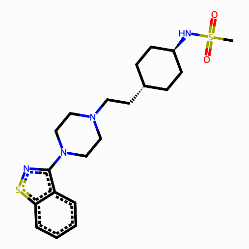 CS(=O)(=O)N[C@H]1CC[C@H](CCN2CCN(c3nsc4ccccc34)CC2)CC1